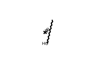 CCCCCCC(CCCCCCCO)O[Si](C)(C)C(C)(C)C